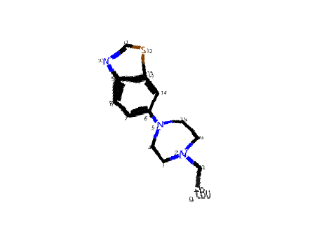 CC(C)(C)CN1CCN(c2ccc3ncsc3c2)CC1